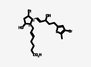 CCC1CC(O)[C@H](CC=CCCCC(=O)O)[C@H]1C=CC(O)CCc1cc(Br)c(C)s1